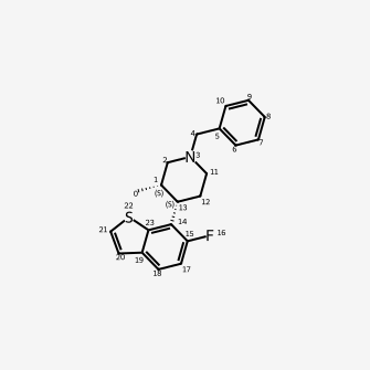 C[C@@H]1CN(Cc2ccccc2)CC[C@@H]1c1c(F)ccc2ccsc12